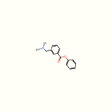 CCN(CC)Cc1cccc(C(=O)Oc2ccccc2)c1